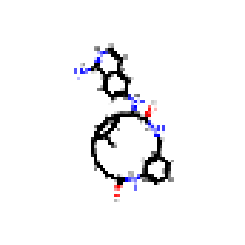 Cc1cc2ccc1CCCC(=O)Nc1cccc(c1)CNC(=O)C2Nc1ccc2c(N)nccc2c1